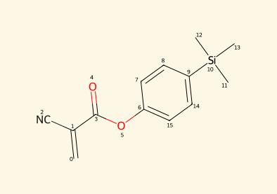 C=C(C#N)C(=O)Oc1ccc([Si](C)(C)C)cc1